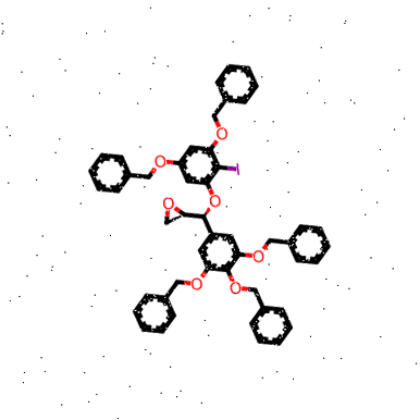 Ic1c(OCc2ccccc2)cc(OCc2ccccc2)cc1O[C@@H](c1cc(OCc2ccccc2)c(OCc2ccccc2)c(OCc2ccccc2)c1)[C@H]1CO1